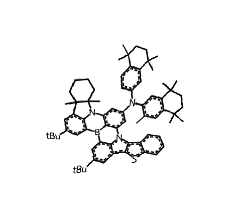 Cc1cc2c(cc1N(c1cc3c4c(c1)-n1c5c(cc(C(C)(C)C)cc5c5sc6ccccc6c51)B4c1cc(C(C)(C)C)cc4c1N3C1(C)CCCCC41C)c1ccc3c(c1)C(C)(C)CCC3(C)C)C(C)(C)CCC2(C)C